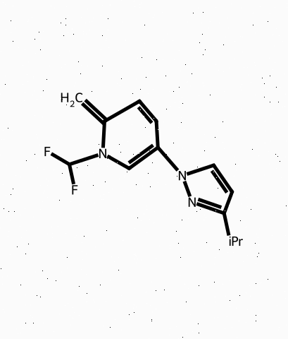 C=C1C=CC(n2ccc(C(C)C)n2)=CN1C(F)F